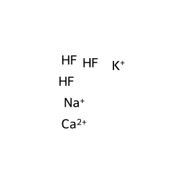 F.F.F.[Ca+2].[K+].[Na+]